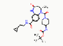 C[C@H]1CC(=O)Nc2cc(C(=O)NCCC3CC3)ccc2N1C(=O)N1CCC(NC(=O)OC(C)(C)C)CC1